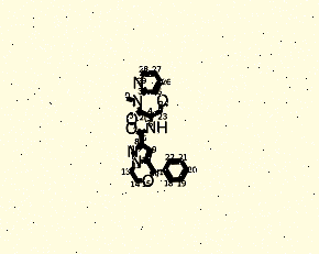 CN1C(=O)[C@@H](NC(=O)c2cc3n(n2)CCO[C@H]3c2ccccc2)COc2cccnc21